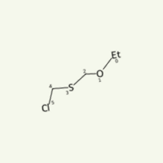 CCOCSCCl